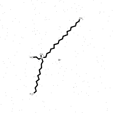 CCCCCCCCCCCCCCCCCC[N+](C)(CCO)CCCCCCCCCCCC.[Br-]